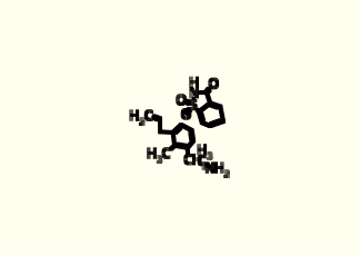 C=CCc1cccc(C)c1C.CN.O=C1NS(=O)(=O)c2ccccc21